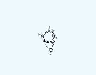 CC(C)[C@H]1[C@@H](C)C/C=C/[C@H](O)[C@@H]2CC[C@H]2CN2CCCCc3cc(Cl)ccc3COc3ccc(cc32)C(=O)NS1(=O)=O